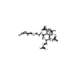 CC(=O)OC[C@H]1O[C@@H](OCCOCCN=[N+]=[N-])[C@H](OC(C)=O)[C@@H](OC(C)=O)[C@H]1OC(C)=O